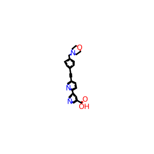 O=C(O)c1cncc(-c2ccc(C#Cc3ccc(CN4CCOCC4)cc3)cn2)c1